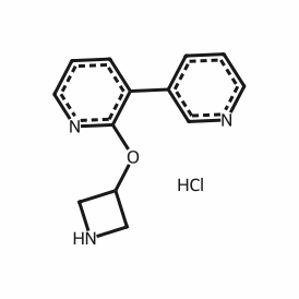 Cl.c1cncc(-c2cccnc2OC2CNC2)c1